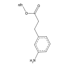 CCCOC(=O)CCc1cccc(N)c1